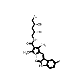 CC(=O)C[C@H](O)C[C@H](O)CNC(=O)c1c(C)[nH]c(/C=C2\C(=O)Nc3ccc(F)cc32)c1C